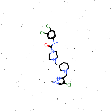 Cn1cc(Cl)c(CN2CCC[C@@H](CN3CCN(C(=O)Nc4ccc(Cl)c(Cl)c4)CC3)C2)n1